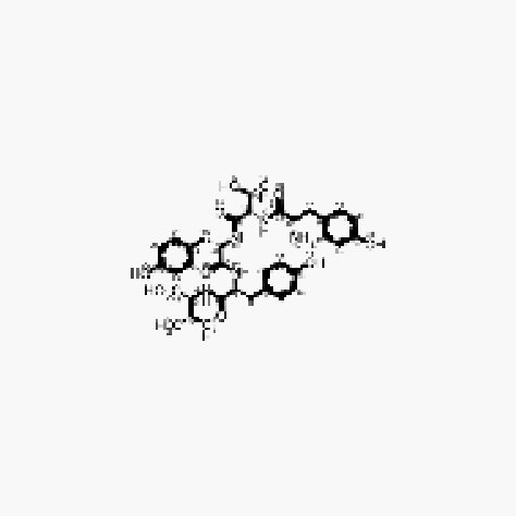 C[C@@H](O)[C@H](NC(=O)[C@H](Cc1ccc(O)cc1)NC(=O)[C@H](Cc1ccc(O)cc1)NC(=O)[C@@H](NC(=O)[C@@H](N)Cc1ccc(O)cc1)[C@@H](C)O)C(=O)O